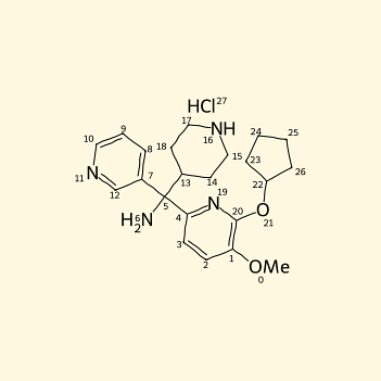 COc1ccc(C(N)(c2cccnc2)C2CCNCC2)nc1OC1CCCC1.Cl